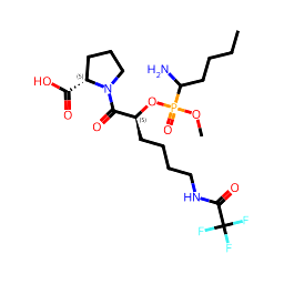 CCCCC(N)P(=O)(OC)O[C@@H](CCCCNC(=O)C(F)(F)F)C(=O)N1CCC[C@H]1C(=O)O